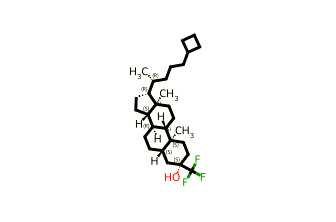 C[C@H](CCCC1CCC1)[C@H]1CC[C@H]2[C@@H]3CC[C@H]4C[C@](O)(C(F)(F)F)CC[C@]4(C)[C@H]3CC[C@]12C